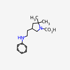 CC1(C)CC(CCNc2ccccc2)CN1C(=O)O